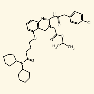 CC(C)OC(=O)CN1Cc2c(cccc2OCCCC(=O)N(C2CCCCC2)C2CCCCC2)N=C1NC(=O)Cc1ccc(Cl)cc1